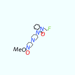 COC(=O)N1CCC(N2CCC(n3c(=O)n(CCF)c4ccccc43)CC2)CC1